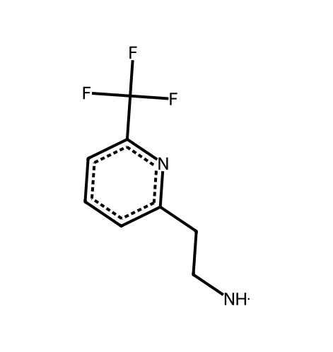 [NH]CCc1cccc(C(F)(F)F)n1